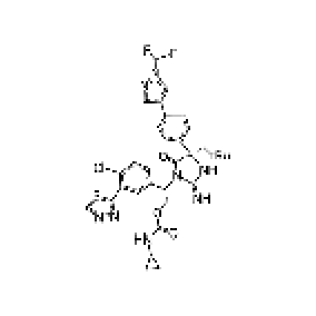 CC(C)(C)C[C@]1(c2ccc(-c3cnn(C(F)F)c3)cc2)NC(=N)N([C@H](COC(=O)NC2CC2)c2ccc(Cl)c(-c3nncs3)c2)C1=O